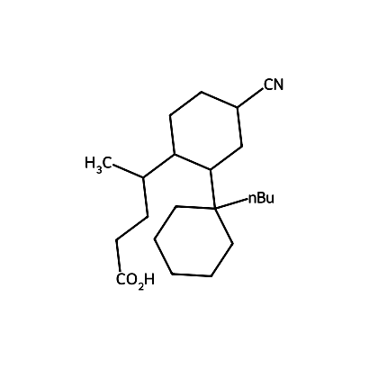 CCCCC1(C2CC(C#N)CCC2C(C)CCC(=O)O)CCCCC1